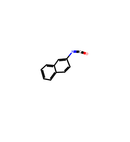 O=C=Nc1[c]c2ccccc2cc1